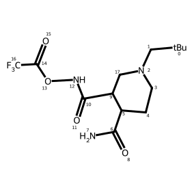 CC(C)(C)CN1CCC(C(N)=O)C(C(=O)NOC(=O)C(F)(F)F)C1